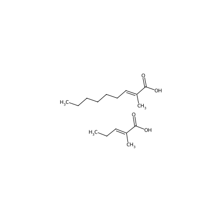 CC/C=C(\C)C(=O)O.CCCCCC/C=C(\C)C(=O)O